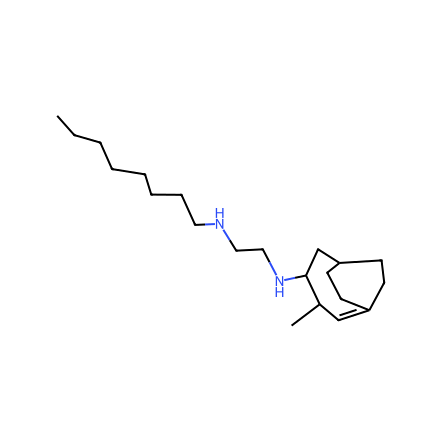 CCCCCCCCNCCNC1CC2CCC(=CC1C)CC2